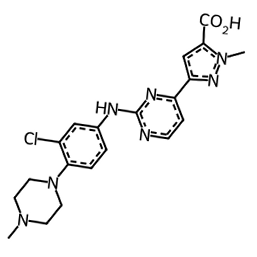 CN1CCN(c2ccc(Nc3nccc(-c4cc(C(=O)O)n(C)n4)n3)cc2Cl)CC1